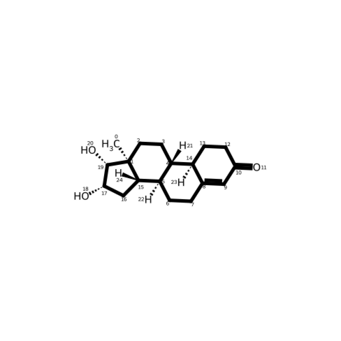 C[C@]12CC[C@H]3[C@@H](CCC4=CC(=O)CC[C@@H]43)[C@@H]1C[C@H](O)[C@@H]2O